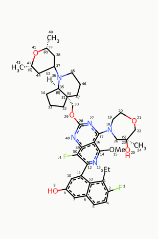 CCc1c(F)ccc2cc(O)cc(-c3nc(OC)c4c(N5CCOC[C@@](C)(O)C5)nc(OC[C@]56CCC[C@H]5N(C5C[C@@H](C)O[C@@H](C)C5)CCC6)nc4c3F)c12